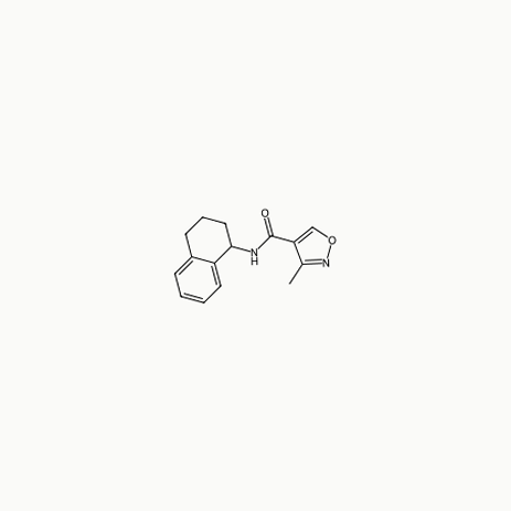 Cc1nocc1C(=O)NC1CCCc2ccccc21